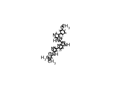 COc1cccc(-c2cncc3[nH]c(-c4n[nH]c5ccc(-c6cncc(NC(=O)CN(C)C)c6)nc45)nc23)c1